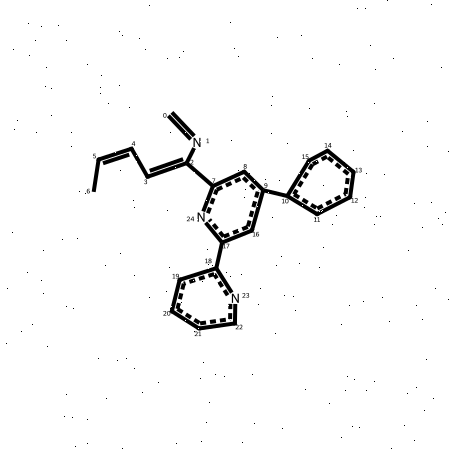 C=N/C(=C\C=C/C)c1cc(-c2ccccc2)cc(-c2ccccn2)n1